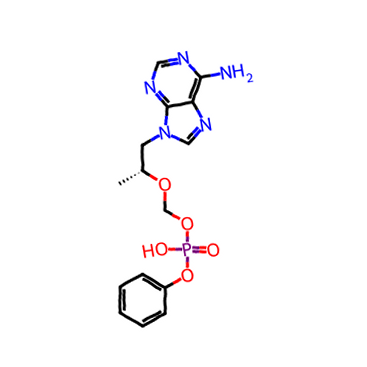 C[C@H](Cn1cnc2c(N)ncnc21)OCOP(=O)(O)Oc1ccccc1